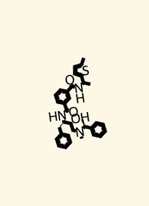 Cc1ccc(C(C)NC(=O)c2cccc(C(=O)N[C@@H](Cc3ccccc3)[C@H](O)CN(C)[C@@H](C)c3ccccc3)c2)s1